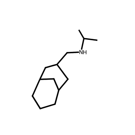 CC(C)NCC1CC2CCCC(C2)C1